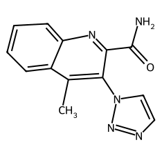 Cc1c(-n2ccnn2)c(C(N)=O)nc2ccccc12